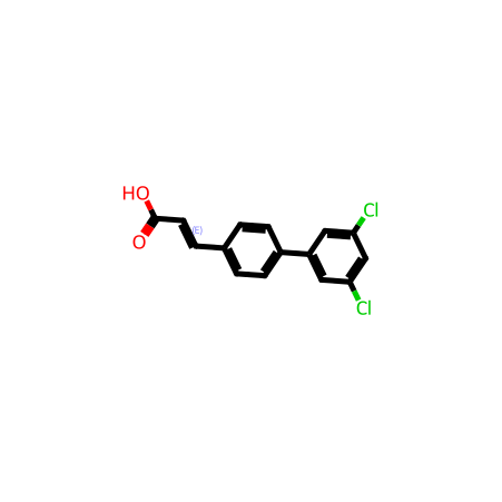 O=C(O)/C=C/c1ccc(-c2cc(Cl)cc(Cl)c2)cc1